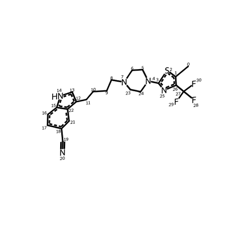 Cc1sc(N2CCN(CCCCc3c[nH]c4ccc(C#N)cc34)CC2)nc1C(F)(F)F